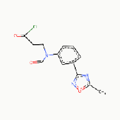 Cc1nc(-c2cccc(N(C=O)CCC(=O)Cl)c2)no1